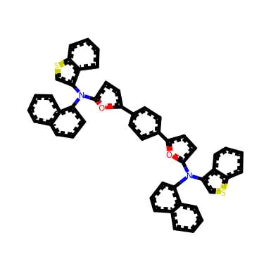 c1ccc2c(N(c3ccc(-c4ccc(-c5ccc(N(c6cccc7ccccc67)c6csc7ccccc67)o5)cc4)o3)c3csc4ccccc34)cccc2c1